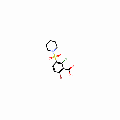 O=C(O)c1c(Br)ccc(S(=O)(=O)N2CCCCC2)c1Cl